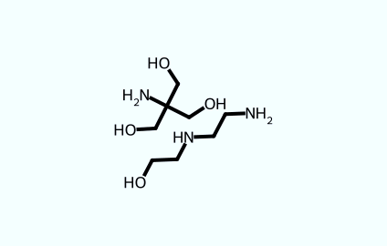 NC(CO)(CO)CO.NCCNCCO